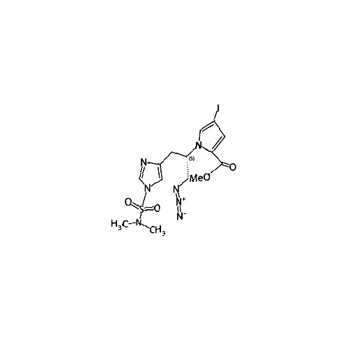 COC(=O)c1cc(I)cn1[C@H](CN=[N+]=[N-])Cc1cn(S(=O)(=O)N(C)C)cn1